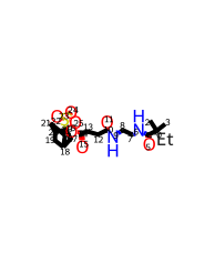 CCC(C)(C)C(=O)NCCNC(=O)CCC(=O)OC1C2CC3C1OS(=O)(=O)C3C2